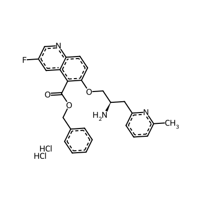 Cc1cccc(C[C@@H](N)COc2ccc3ncc(F)cc3c2C(=O)OCc2ccccc2)n1.Cl.Cl